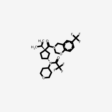 CC(C)[C@]1(C(=O)N2COc3ccc(C(F)(F)F)cc3C2)CC[C@@H](N(C(=O)C(F)(F)F)C2CCOCC2)C1